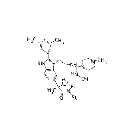 CCN(CC)C(=O)C(C)(C)c1ccc2[nH]c(-c3cc(C)cc(C)c3)c(CCNC(NC#N)N3CCN(C)CC3)c2c1